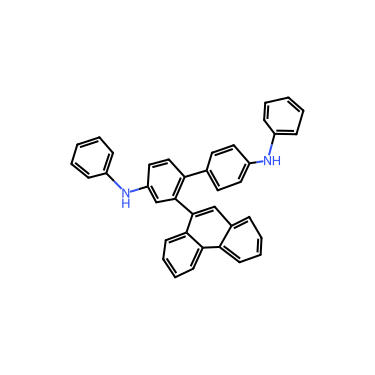 c1ccc(Nc2ccc(-c3ccc(Nc4ccccc4)cc3-c3cc4ccccc4c4ccccc34)cc2)cc1